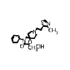 Cc1ncsc1CCN1CCC2(CC1)CN(c1ccccc1)C(=O)C(C)O2.Cl